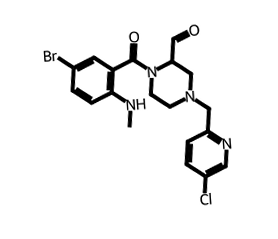 CNc1ccc(Br)cc1C(=O)N1CCN(Cc2ccc(Cl)cn2)CC1C=O